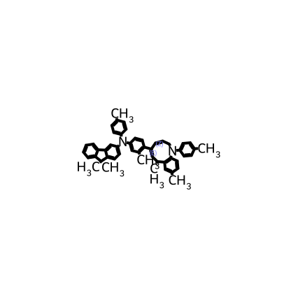 Cc1ccc(N2C/C=C\C(c3ccc(N(c4ccc(C)cc4)c4ccc5c(c4)-c4ccccc4C5(C)C)cc3C)=C/C(C)c3cc(C)ccc32)cc1